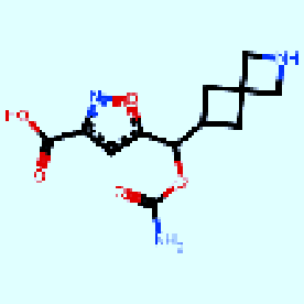 NC(=O)OC(c1cc(C(=O)O)no1)C1CC2(CNC2)C1